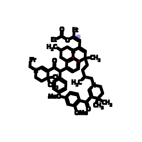 CCC(=O)O/C(=C\C1=CC(C)(CCC(C)CN2C=C(C(=O)c3ccc(OC)cc3OC)C(C)(C)CC2)CCN1CC(C)Cc1ccccc1C(C(=O)C1=CN(CC(C)C)CCC1(C)C)c1ccccc1)CC